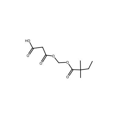 CCC(C)(C)C(=O)OCOC(=O)CC(=O)O